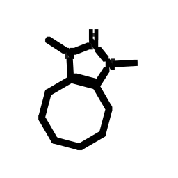 CN1NN(C)C2=C1CCCCCC2